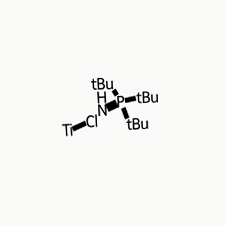 CC(C)(C)P(=N)(C(C)(C)C)C(C)(C)C.[Cl][Ti]